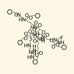 CC(C(=O)NC(=O)CCCC(NCC=NOCc1ccccc1)C(=O)OCc1ccccc1)C(C(=O)NC(=O)C(SCCNCC=N)C(=O)OCc1ccccc1)C(C(=O)NC(=O)CCCC(NCC=N)C(=O)OCc1ccccc1)C(=O)NC(=O)CCCC(NC(=N)CF)C(=O)OCc1ccccc1